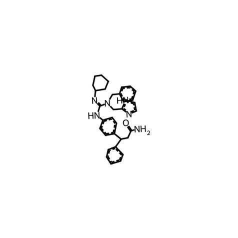 NC(=O)CC(c1ccccc1)c1ccc(N/C(=N/C2CCCCC2)N(Cc2ccccc2)Cc2ncc[nH]2)cc1